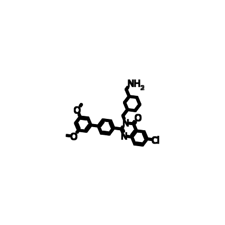 COc1cc(OC)cc(-c2ccc(-c3nc4ccc(Cl)cc4c(=O)n3CC3CCCC(CN)C3)cc2)c1